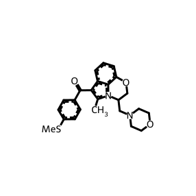 CSc1ccc(C(=O)c2c(C)n3c4c(cccc24)OCC3CN2CCOCC2)cc1